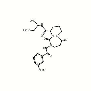 CC(=O)Nc1cccc(C(=O)NN2CCC(=O)N3CCC[C@@H](C(=O)N[C@H](C=O)CC(=O)O)N3C2=O)c1